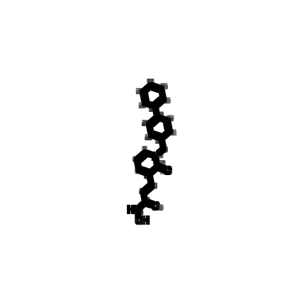 O=C(/C=C/c1cccn(Cc2ccc(-c3ccccc3)cc2)c1=O)NO